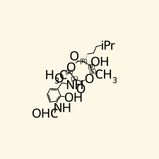 CC(C)CCC[C@H]1C(=O)O[C@H](C)[C@H](NC(=O)c2cccc(NC=O)c2O)C(=O)O[C@@H](C)[C@@H]1O